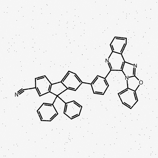 N#Cc1ccc2c(c1)C(c1ccccc1)(c1ccccc1)c1cc(-c3cccc(-c4nc5ccccc5c5nc6oc7ccccc7n6c45)c3)ccc1-2